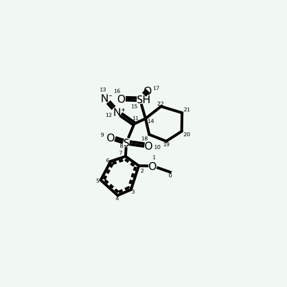 COc1ccccc1S(=O)(=O)C(=[N+]=[N-])C1([SH](=O)=O)CCCCC1